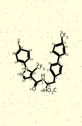 O=C(N[C@@H](Cc1ccc(-c2ccc(C(F)(F)F)cc2)cc1)C(=O)O)c1cnn(-c2ccc(F)cc2)c1C(F)(F)F